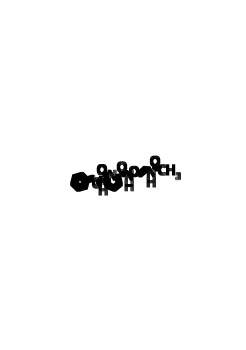 CC(=O)NCCONC(=O)[C@@H]1CC[C@@H]2CN1C(=O)N2OCc1ccccc1